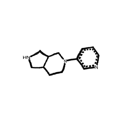 c1cncc(N2CCC3CNCC3C2)c1